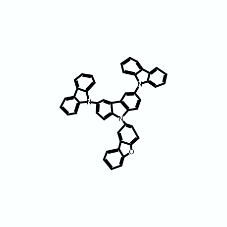 c1ccc2c(c1)oc1ccc(-n3c4ccc(-n5c6ccccc6c6ccccc65)cc4c4cc(-n5c6ccccc6c6ccccc65)ccc43)cc12